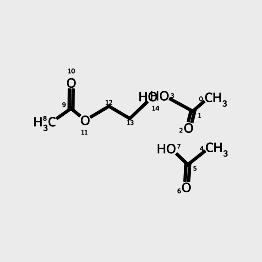 CC(=O)O.CC(=O)O.CC(=O)OCCO